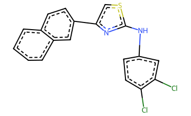 Clc1ccc(Nc2nc(-c3ccc4ccccc4c3)cs2)cc1Cl